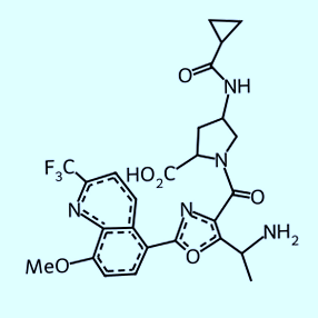 COc1ccc(-c2nc(C(=O)N3CC(NC(=O)C4CC4)CC3C(=O)O)c(C(C)N)o2)c2ccc(C(F)(F)F)nc12